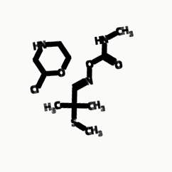 CNC(=O)O/N=C/C(C)(C)SC.ClC1CNCCO1